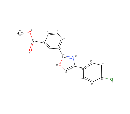 COC(=O)c1cccc(-c2nc(-c3ccc(Cl)cc3)co2)c1